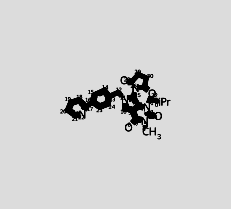 CC(C)Cn1c(=O)n(C)c(=O)c2cn(Cc3ccc(-c4ccccn4)cc3)c(N3C(=O)CCC3=O)c21